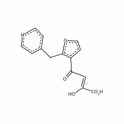 O=C(O)/C(O)=C/C(=O)c1ccoc1Cc1ccncc1